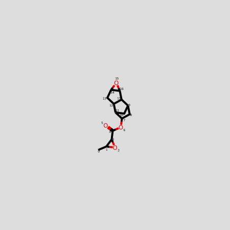 CC1OC1C(=O)OC1CC2CC1C1CC3OC3C21